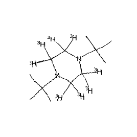 [3H]C1([3H])N(C(C)(C)C)C([3H])([3H])C([3H])([3H])N(C(C)(C)C)C1([3H])[3H]